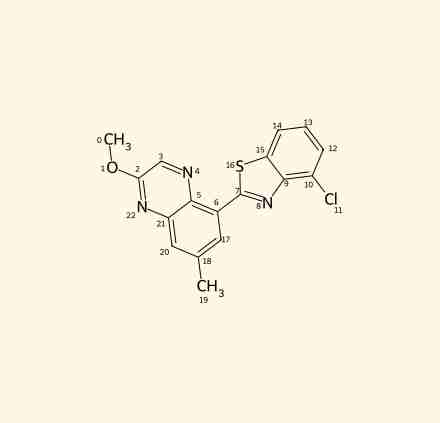 COc1cnc2c(-c3nc4c(Cl)cccc4s3)cc(C)cc2n1